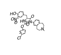 CN1CCc2ccc(NC(=O)C(Cc3ccc(O)c([N+](=O)[O-])c3)NC(=O)Oc3ccc(Cl)s3)cc2CC1